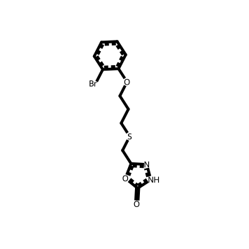 O=c1[nH]nc(CSCCCOc2ccccc2Br)o1